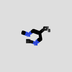 C=N/C=C(\C=N/CC)C(F)(F)F